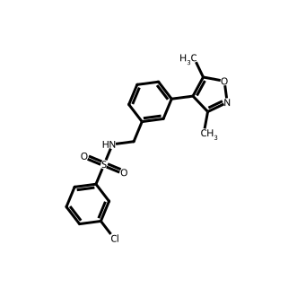 Cc1noc(C)c1-c1cccc(CNS(=O)(=O)c2cccc(Cl)c2)c1